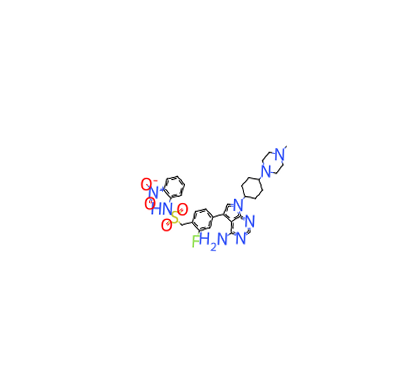 CN1CCN(C2CCC(n3cc(-c4ccc(CS(=O)(=O)Nc5ccccc5[N+](=O)[O-])c(F)c4)c4c(N)ncnc43)CC2)CC1